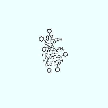 CC(=O)OC1C(O)OC(COC2OC(CO)C(OC(=O)c3ccccc3)C(OC(=O)c3ccccc3)C2OC(=O)c2ccccc2)C(OC(C)=O)C1OC1OC(COC(=O)c2ccccc2)C(OC(=O)c2ccccc2)C(O)C1OC(=O)c1ccccc1